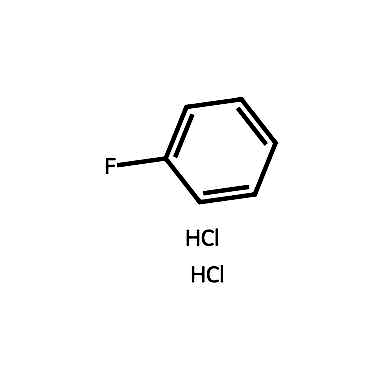 Cl.Cl.Fc1ccccc1